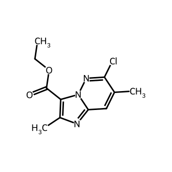 CCOC(=O)c1c(C)nc2cc(C)c(Cl)nn12